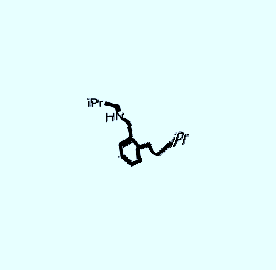 CC(C)CCc1cc[c]cc1CNCC(C)C